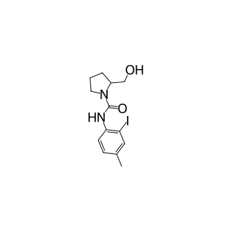 Cc1ccc(NC(=O)N2CCCC2CO)c(I)c1